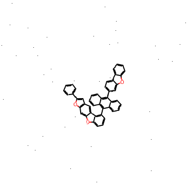 c1ccc(-c2cc3cc4c(cc3o2)oc2cccc(-c3c5ccccc5c(-c5ccc6c(c5)oc5ccccc56)c5ccccc35)c24)cc1